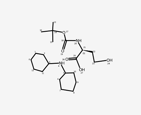 C1CCC(NC2CCCCC2)CC1.CC(C)(C)OC(=O)N[C@@H](CCO)C(=O)O